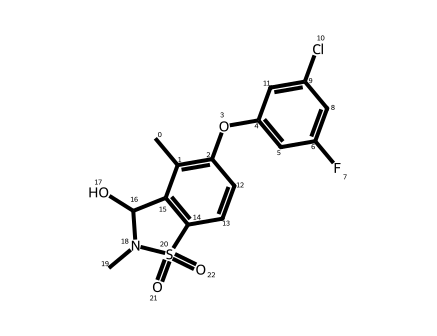 Cc1c(Oc2cc(F)cc(Cl)c2)ccc2c1C(O)N(C)S2(=O)=O